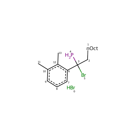 Br.CCCCCCCCCC(P)(Br)c1cccc(C)c1C